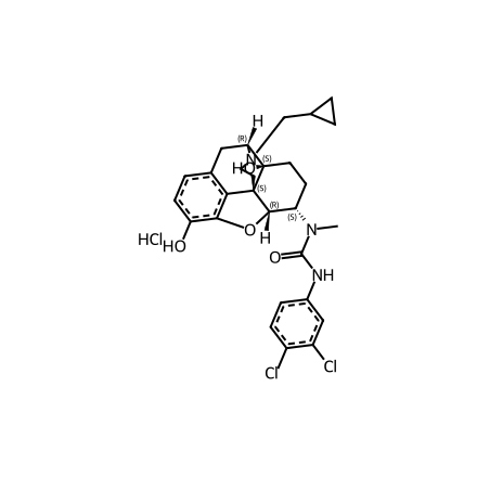 CN(C(=O)Nc1ccc(Cl)c(Cl)c1)[C@H]1CC[C@@]2(O)[C@H]3Cc4ccc(O)c5c4[C@@]2(CCN3CC2CC2)[C@H]1O5.Cl